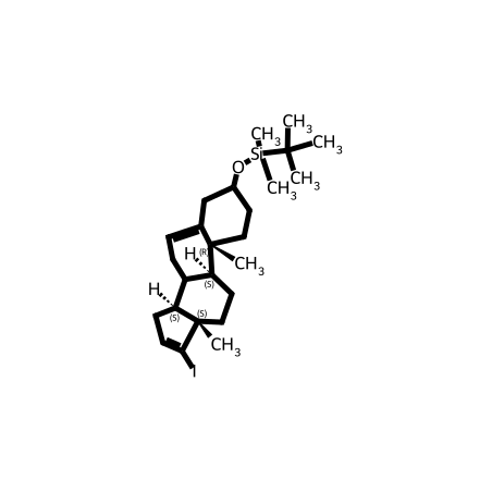 CC(C)(C)[Si](C)(C)OC1CC[C@@]2(C)C(=CCC3[C@@H]2CC[C@]2(C)C(I)=CC[C@@H]32)C1